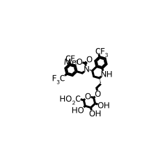 COC(=O)N(Cc1cc(C(F)(F)F)cc(C(F)(F)F)c1)[C@H]1C[C@@H](CCOC2OC(C(=O)O)C(O)C(O)C2O)Nc2ccc(C(F)(F)F)cc21